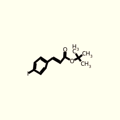 CC(C)(C)OC(=O)/C=C/c1ccc(I)cc1